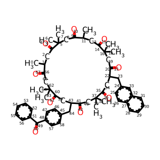 CC1CC(=O)C(C)(C)CC(=O)C(C)CC(=O)C(C)(C)CC(=O)C(Cc2ccc3ccccc3c2)CC(=O)C(C)(C)CC(=O)C(Cc2ccc(C(=O)c3ccccc3)cc2)CC(=O)C(C)(C)CC1=O